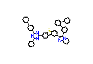 C1=CCC(c2ccc(-c3nc(-c4ccccc4)nc(-c4ccc5c(c4)sc4ccc(-c6nc7ccccn7c6-c6cccc(-c7ccccc7-c7ccccc7)c6)cc45)n3)cc2)C=C1